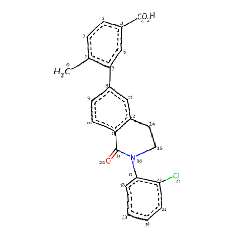 Cc1ccc(C(=O)O)cc1-c1ccc2c(c1)CCN(c1ccccc1Cl)C2=O